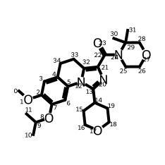 COc1cc2c(cc1OC(C)C)-n1c(C3CCOCC3)nc(C(=O)N3CCOCC3(C)C)c1CC2